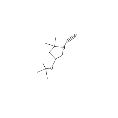 CC(C)(C)OC1CN(C#N)C(C)(C)C1